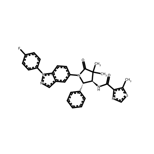 Cc1scnc1C(=O)N[C@H]1[C@H](c2ccccc2)N(c2ccc3c(cnn3-c3ccc(F)cc3)c2)C(=O)C1(C)C